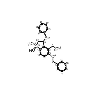 OCc1c(OCc2ccccc2)ccc2c1C(Sc1ccccc1)CS2(O)O